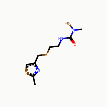 Cc1nc(CSCCNC(=O)N(C)S)cs1